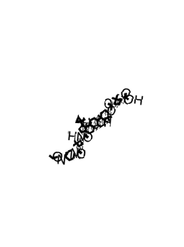 CCON=C1CCN(C(=O)[C@H]2C[C@@H](NC(=O)[C@]34CCC(C5(C)CC5)[C@@H]3C3CC[C@]5(C)C6(C)CC[C@H](OC(=O)[C@H]7C[C@@H](C(=O)O)C7(C)C)C(C)(C)[C@@H]6CC[C@@]5(C)[C@]3(C)CC4)C2(C)C)CC1